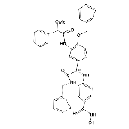 COC(C(=O)Nc1cc([C@H](Nc2ccc(C(=N)NO)cc2)C(=O)NCc2ccccc2)ccc1OCc1ccccc1)c1ccccc1